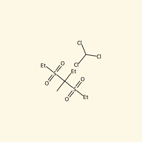 CCC(C)(S(=O)(=O)CC)S(=O)(=O)CC.ClC(Cl)Cl